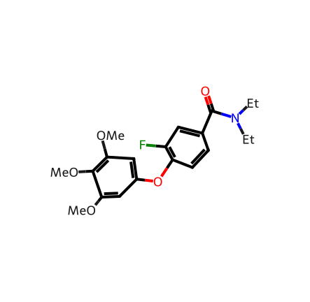 CCN(CC)C(=O)c1ccc(Oc2cc(OC)c(OC)c(OC)c2)c(F)c1